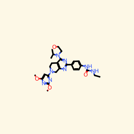 CCNC(=O)Nc1ccc(-c2nc3c(c(N4CCOCC4C)n2)CCN(c2cc(OC)nc(OC)n2)C3)cc1